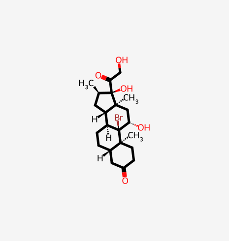 C[C@@H]1C[C@H]2[C@@H]3CC[C@H]4CC(=O)CC[C@]4(C)[C@@]3(Br)[C@@H](O)C[C@]2(C)[C@@]1(O)C(=O)CO